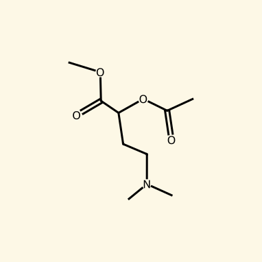 COC(=O)C(CCN(C)C)OC(C)=O